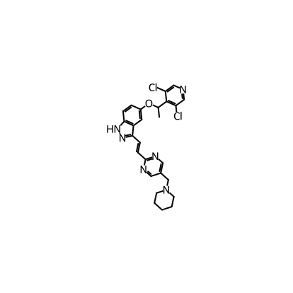 CC(Oc1ccc2[nH]nc(/C=C/c3ncc(CN4CCCCC4)cn3)c2c1)c1c(Cl)cncc1Cl